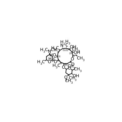 CC[C@H]1OC(=O)[C@H](C)[C@@H](OC2CC(C)(OC)C(O)C(C)O2)[C@H](C)[C@@H](OC2CC(N(C)C)CC(C)O2)[C@@](C)(O)CC(C)[C@H](N)[C@H](C)[C@@H](O)[C@]1(C)O